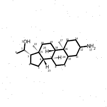 CC(O)[C@H]1CC[C@H]2[C@@H]3CCC4CC(N)CC[C@]4(C)[C@H]3CC[C@]12C